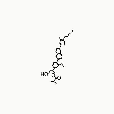 C=C(C)C(=O)OCC(CCO)c1ccc(-c2ccc3cc(-c4ccc(CCCCC)c(C)c4)ccc3c2)c(CC)c1